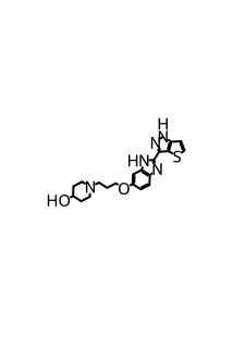 OC1CCN(CCCOc2ccc3nc(-c4n[nH]c5ccsc45)[nH]c3c2)CC1